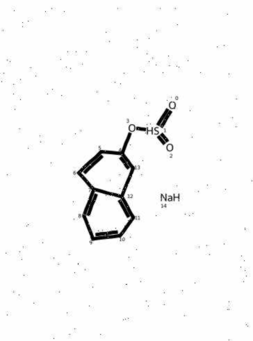 O=[SH](=O)Oc1ccc2ccccc2c1.[NaH]